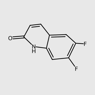 O=c1ccc2cc(F)c(F)cc2[nH]1